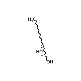 CCCCCCCCCCCCOCC(O)CNCCO